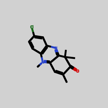 CC1=Cc2c(nc3cc(Cl)ccc3[n+]2C)C(C)(C)C1=O